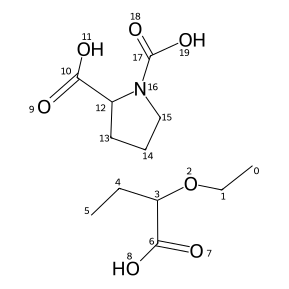 CCOC(CC)C(=O)O.O=C(O)C1CCCN1C(=O)O